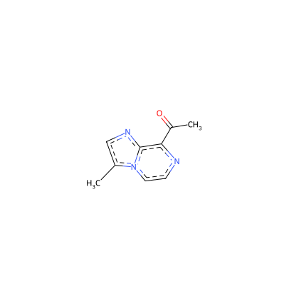 CC(=O)c1nccn2c(C)cnc12